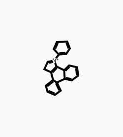 C1=[N+](c2ccccc2)c2c(c3ccccc3c3ccccc23)C1